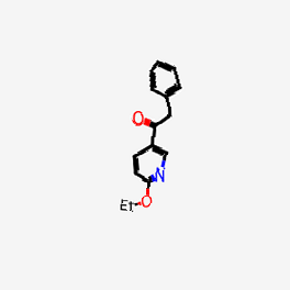 CCOc1ccc(C(=O)Cc2ccccc2)cn1